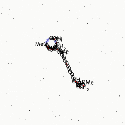 COc1cccc2cc(-c3nc([C@H]4CC[C@H](C(=O)NCCOCCOCCOCCOCCOCCOCCOCCOCCOCCNC(=O)O[C@@H]5CC[C@@H](C[C@@H](N)[C@@H]6CC(=O)[C@H](C)/C=C(\C)[C@@H](O)[C@@H](O)C(=O)[C@H](C)C[C@H](C)/C=C/C=C/C=C(\C)[C@@H](OC)C[C@@H]7CC[C@@H](C)[C@@](O)(O7)C(=O)C(=O)N7CCCC[C@H]7C(=O)O6)C[C@H]5OC)CC4)n4ncnc(N)c34)[nH]c12